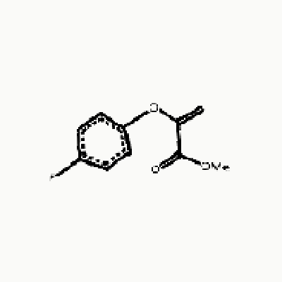 C=C(Oc1ccc(F)cc1)C(=O)OC